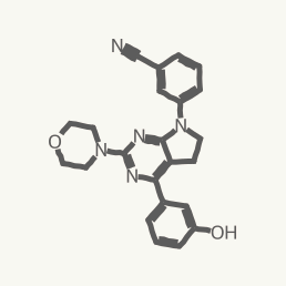 N#Cc1cccc(N2CCc3c(-c4cccc(O)c4)nc(N4CCOCC4)nc32)c1